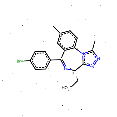 Cc1ccc2c(c1)C(c1ccc(Br)cc1)=N[C@@H](CC(=O)O)c1nnc(C)n1-2